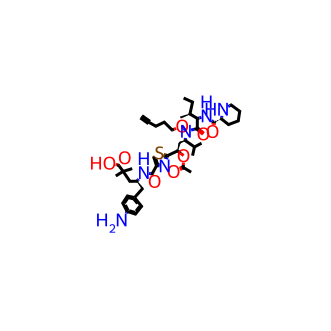 C#CCCCON(C(=O)C(NC(=O)[C@H]1CCCCN1)[C@@H](C)CC)[C@H](C[C@@H](OC(C)=O)c1nc(C(=O)N[C@@H](Cc2ccc(N)cc2)CC(C)(C)C(=O)O)cs1)C(C)C